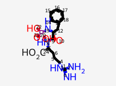 N=C(N)NCCCC(NC(=O)C(Cc1ccccc1)NP(=O)(O)O)C(=O)O